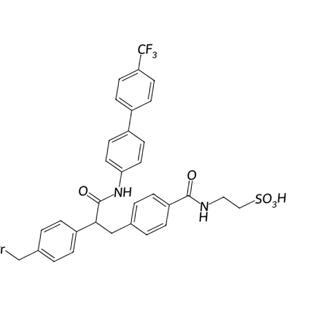 CC(C)Cc1ccc(C(Cc2ccc(C(=O)NCCS(=O)(=O)O)cc2)C(=O)Nc2ccc(-c3ccc(C(F)(F)F)cc3)cc2)cc1